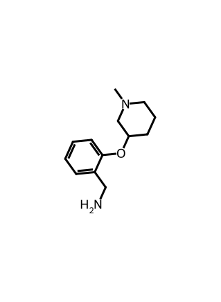 CN1CCCC(Oc2ccccc2CN)C1